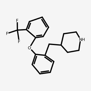 FC(F)(F)c1ccccc1Oc1ccccc1CC1CCNCC1